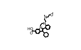 COCCN(C)CCN1CCn2c(c(C3CCCCC3)c3ccc(C(=O)O)cc32)-c2ccccc21